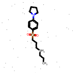 CCC[SiH2]CCCS(=O)(=O)c1ccc(N2CCCC2)cc1